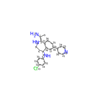 C/C(N)=C1/NCCC(Nc2ccc(Cl)cc2)c2cc(-c3ccncc3)ccc21